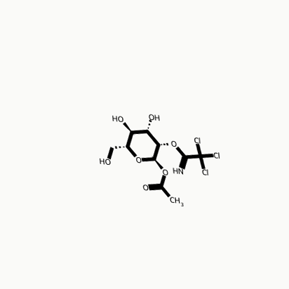 CC(=O)O[C@H]1O[C@H](CO)[C@@H](O)[C@H](O)[C@@H]1OC(=N)C(Cl)(Cl)Cl